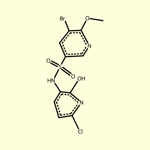 COc1ncc(S(=O)(=O)Nc2ccc(Cl)nc2O)cc1Br